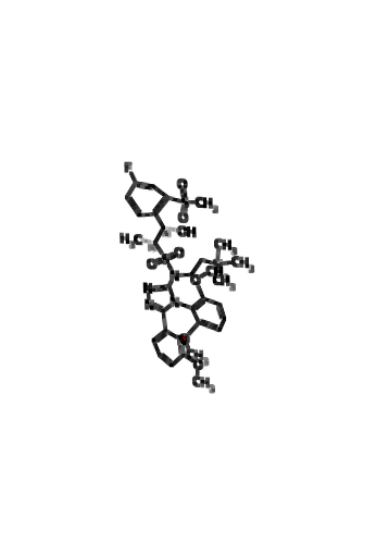 COc1cccc(-c2nnc(N(CC[Si](C)(C)C)S(=O)(=O)[C@H](C)[C@@H](O)c3ccc(F)cc3S(C)(=O)=O)n2-c2c(OC)cccc2OC)n1